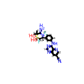 CC1(C)C(N)=N[C@](C)(c2cc(Nc3ncnc4cc(C#N)cnc34)ccc2F)C(F)S1(O)O